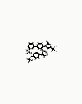 Cc1nc(C(F)(F)F)cn1-c1ccc(-c2cccc(S(C)(=O)=O)c2)cc1-n1nncc1-c1ccc(SC(F)(F)F)cc1